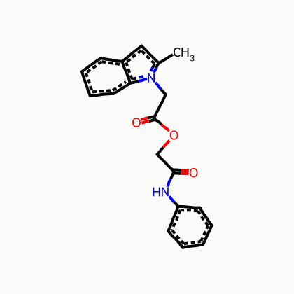 Cc1cc2ccccc2n1CC(=O)OCC(=O)Nc1ccccc1